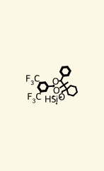 C[SiH](C)OCC1(C(C)(C)C(OC(=O)c2cc(C(F)(F)F)cc(C(F)(F)F)c2)c2ccccc2)CCCCC1